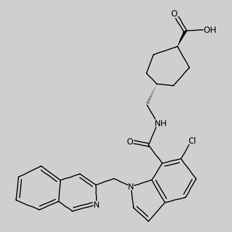 O=C(NC[C@H]1CC[C@H](C(=O)O)CC1)c1c(Cl)ccc2ccn(Cc3cc4ccccc4cn3)c12